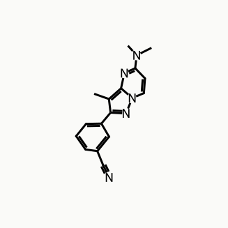 Cc1c(-c2cccc(C#N)c2)nn2ccc(N(C)C)nc12